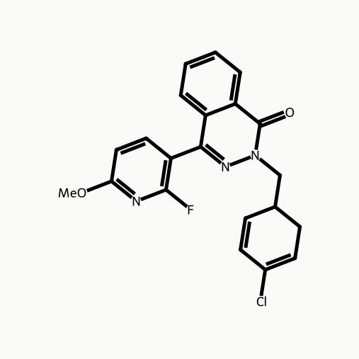 COc1ccc(-c2nn(CC3C=CC(Cl)=CC3)c(=O)c3ccccc23)c(F)n1